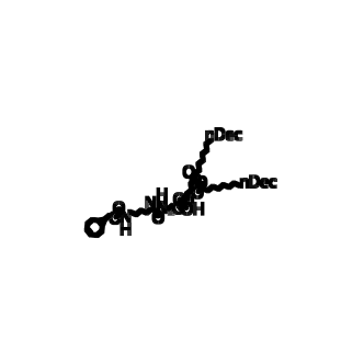 CCCCCCCCCCCCCCCCCC(=O)OCC(COP(=O)(O)OCCNC(=O)C(N)CCCCNC(=O)OCC1C2CC/C=C\CCC21)OC(=O)CCCCCCCCCCCCCCCCC